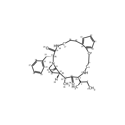 CCC(C)[C@@H]1NCCOc2ccccc2CCCNC(=O)[C@@H](Cc2ccccc2)N2CC[C@H](C2=O)N(C)C1=O